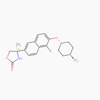 C[C@@]1(c2ccc3c(I)c(O[C@H]4CC[C@H](C(F)(F)F)CC4)ccc3c2)COC(=O)N1